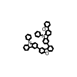 c1ccc(-n2c3ccccc3c3cc(-c4ccc5oc6cccc(-c7ccc8c(c7)c7ccc9c%10ccccc%10oc9c7n8-c7ccccc7)c6c5c4)ccc32)cc1